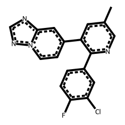 Cc1cnc(-c2ccc(F)c(Cl)c2)c(-c2ccn3ncnc3c2)c1